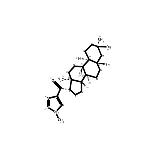 Cn1cc(C(=O)[C@H]2CC[C@H]3[C@@H]4CC[C@H]5C[C@](C)(O)CC[C@@H]5[C@H]4CC[C@]23C)nn1